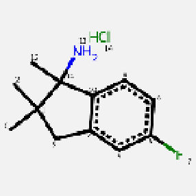 CC1(C)Cc2cc(F)ccc2C1(C)N.Cl